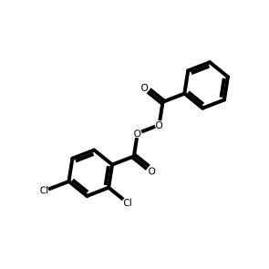 O=C(OOC(=O)c1ccc(Cl)cc1Cl)c1ccccc1